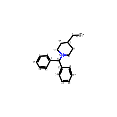 CC(C)CC1CCN(C(c2ccccc2)c2ccccc2)CC1